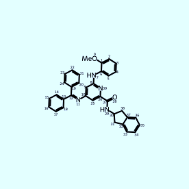 COc1ccccc1Nc1cc(N=C(c2ccccc2)c2ccccc2)cc(C(=O)NC2Cc3ccccc3C2)n1